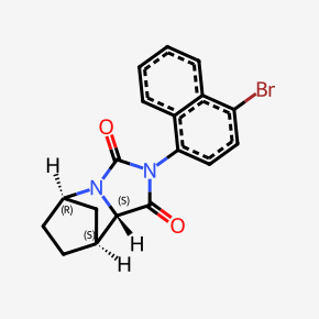 O=C1[C@@H]2[C@H]3CC[C@H](C3)N2C(=O)N1c1ccc(Br)c2ccccc12